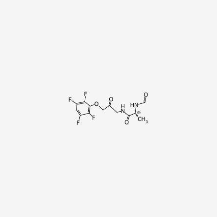 C[C@H](NC=O)C(=O)NCC(=O)COc1c(F)c(F)cc(F)c1F